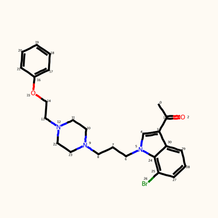 CC(=O)c1cn(CCCN2CCN(CCOc3ccccc3)CC2)c2c(Br)cccc12